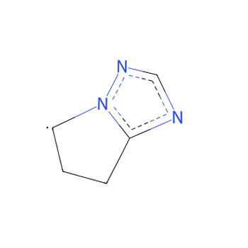 [CH]1CCc2ncnn21